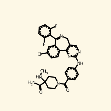 CNC1(C(N)=O)CCN(C(=O)c2ccc(Nc3ncc4c(n3)-c3ccc(Cl)cc3C(c3c(F)cccc3F)=NC4)cc2)CC1